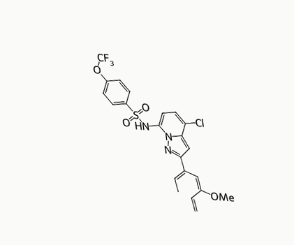 C=C/C(=C\C(=C/C)c1cc2c(Cl)ccc(NS(=O)(=O)c3ccc(OC(F)(F)F)cc3)n2n1)OC